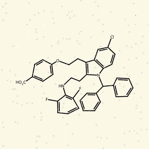 O=C(O)c1ccc(OCCc2c(CCNc3c(F)cccc3F)n(C(c3ccccc3)c3ccccc3)c3ccc(Cl)cc23)cc1